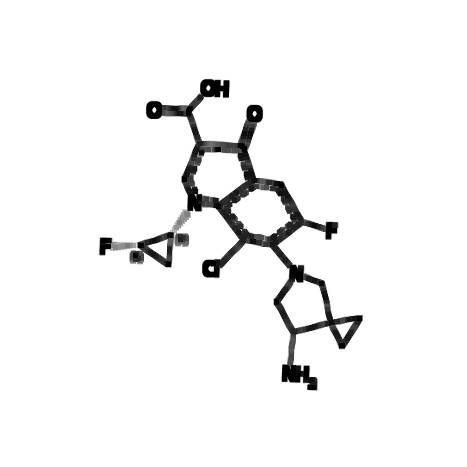 NC1CN(c2c(F)cc3c(=O)c(C(=O)O)cn([C@@H]4C[C@@H]4F)c3c2Cl)CC12CC2